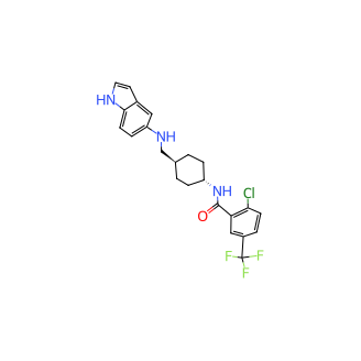 O=C(N[C@H]1CC[C@H](CNc2ccc3[nH]ccc3c2)CC1)c1cc(C(F)(F)F)ccc1Cl